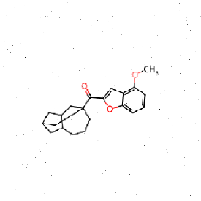 COc1cccc2oc(C(=O)C34CCCC5CC(CC5C3)C4)cc12